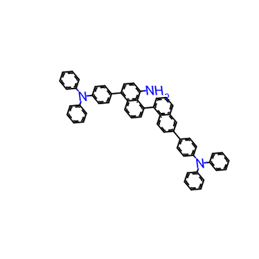 Nc1ccc(-c2ccc(N(c3ccccc3)c3ccccc3)cc2)c2cccc(-c3cccc4cc(-c5ccc(N(c6ccccc6)c6ccccc6)cc5)ccc34)c12